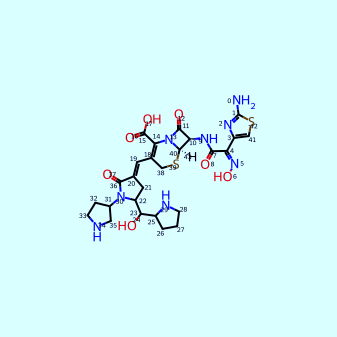 Nc1nc(/C(=N/O)C(=O)N[C@@H]2C(=O)N3C(C(=O)O)=C(/C=C4\CC(C(O)C5CCCN5)N(C5CCNC5)C4=O)CS[C@H]23)cs1